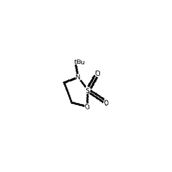 CC(C)(C)N1CCOS1(=O)=O